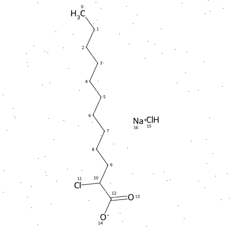 CCCCCCCCCCC(Cl)C(=O)[O-].Cl.[Na+]